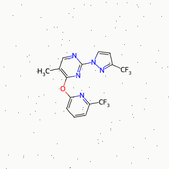 Cc1cnc(-n2ccc(C(F)(F)F)n2)nc1Oc1cccc(C(F)(F)F)n1